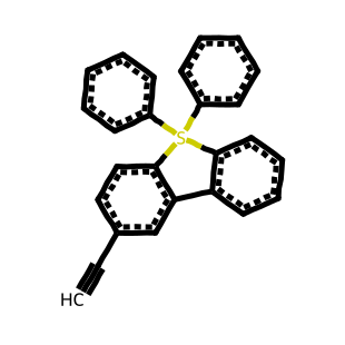 C#Cc1ccc2c(c1)-c1ccccc1S2(c1ccccc1)c1ccccc1